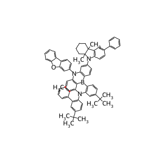 Cc1cc2c3c(c1)N(c1ccc(C(C)(C)C)cc1-c1ccccc1)c1cc(C(C)(C)C)ccc1B3c1ccc(N3c4ccc(-c5ccccc5)cc4C4(C)CCCCC34C)cc1N2c1ccc2c(c1)oc1ccccc12